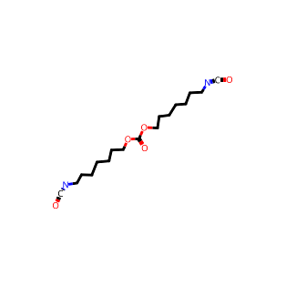 O=C=NCCCCCCCOC(=O)OCCCCCCCN=C=O